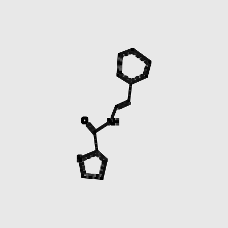 O=C(NC=Cc1ccccc1)c1cccs1